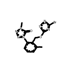 Cc1cccc(-n2nnn(C)c2=O)c1COc1nc(Br)ns1